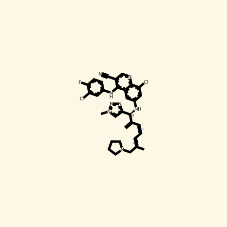 C=C(/C=C\C=C(/C)CN1CCCC1)[C@H](Nc1cc(Cl)c2ncc(C#N)c(Nc3ccc(F)c(Cl)c3)c2c1)c1cn(C)nn1